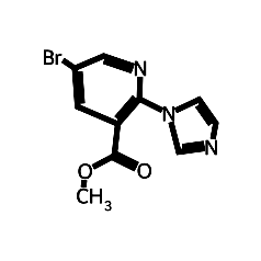 COC(=O)c1cc(Br)cnc1-n1ccnc1